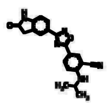 CC(C)Nc1ccc(-c2nc(-c3ccc4c(c3)CC(=O)N4)no2)cc1C#N